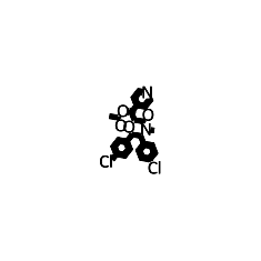 CC(=O)O[C@H](c1ccncc1)C1OC(c2ccc(Cl)cc2)C(c2ccc(Cl)cc2)N(C)C1=O